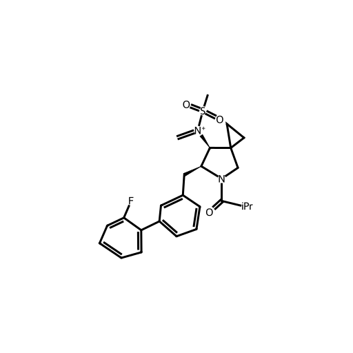 C=[N+]([C@@H]1[C@H](Cc2cccc(-c3ccccc3F)c2)N(C(=O)C(C)C)CC12CC2)S(C)(=O)=O